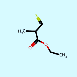 CCOC(=O)C(C)C=S